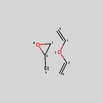 C=COC=C.CCC1CO1